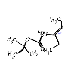 C/C=C(/CC)NC(=O)OC(C)(C)C